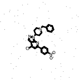 O=[N+]([O-])c1ccc(-c2cc(Cl)c3cnn(C4CCN(Cc5ccccc5)CC4)c3n2)cc1